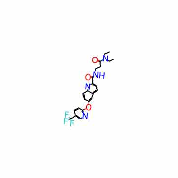 CCN(CC)C(=O)CCNC(=O)c1ccc2cc(Oc3ccc(C(F)(F)F)cn3)ccc2n1